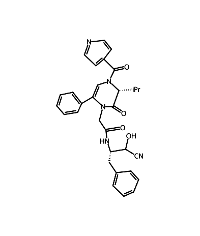 CC(C)[C@@H]1C(=O)N(CC(=O)N[C@@H](Cc2ccccc2)C(O)C#N)C(c2ccccc2)=CN1C(=O)c1ccncc1